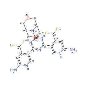 Nc1cc(C(F)F)c(-c2nc(-c3cnc(N)cc3C(F)F)nc(N3C4COCC3COC4)n2)cn1